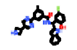 Cc1cc(C(=O)NC(c2cc3ccccc3[nH]2)c2cc(F)ccc2O)cc(-c2ncc(C3CNC3)cn2)c1